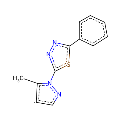 Cc1[c]cnn1-c1nnc(-c2ccccc2)s1